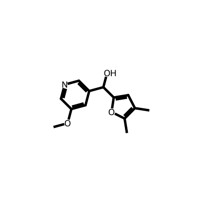 COc1cncc(C(O)c2cc(C)c(C)o2)c1